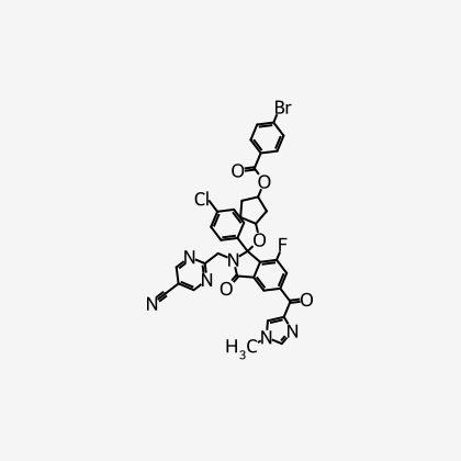 Cn1cnc(C(=O)c2cc(F)c3c(c2)C(=O)N(Cc2ncc(C#N)cn2)C3(OC2CCC(OC(=O)c3ccc(Br)cc3)C2)c2ccc(Cl)cc2)c1